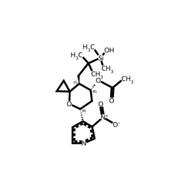 CC(=O)O[C@@H]1C[C@H](c2ccncc2[N+](=O)[O-])OC2(CC2)[C@H]1CC(C)(C)[Si](C)(C)O